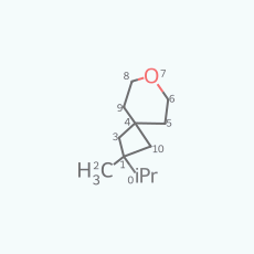 CC(C)C1(C)CC2(CCOCC2)C1